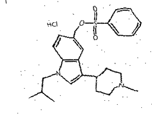 CC(C)Cn1cc(C2CCN(C)CC2)c2cc(OS(=O)(=O)c3ccccc3)ccc21.Cl